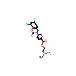 CN(C)CCOC(=O)c1ccc(N2Cc3cc(Cl)cc(Cl)c3OC2=S)cn1